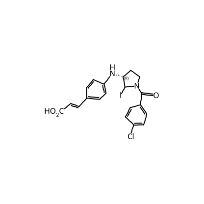 O=C(O)C=Cc1ccc(N[C@@H]2CCN(C(=O)c3ccc(Cl)cc3)C2I)cc1